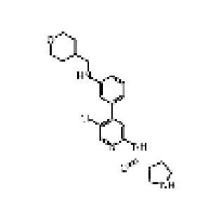 O=C(Nc1cc(-c2cccc(NCC3CCOCC3)c2)c(Cl)cn1)[C@@H]1CCNC1